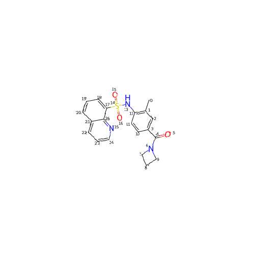 Cc1cc(C(=O)N2C[CH]C2)ccc1NS(=O)(=O)c1cccc2cccnc12